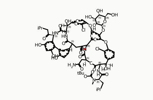 CC(C)CC(=O)[C@H]1NC(=O)[C@H]2NC(=O)[C@@H](CC(=O)[C@@H]3NC(=O)[C@H](CC(N)=O)CC(=O)[C@H](NC(=O)[C@@H](CC(C)C)N(C)C(=O)OC(C)(C)C)[C@H](O)c4ccc(c(Cl)c4)Oc4cc3cc(c4O[C@@H]3O[C@H](CO)[C@@H](O)[C@H](O)[C@H]3O)Oc3ccc(cc3Cl)[C@H]2O)c2ccc(O)c(c2)-c2c(O)cc(O)cc21